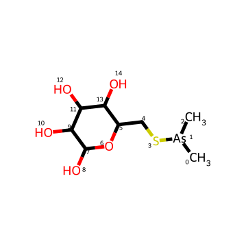 C[As](C)SCC1OC(O)C(O)C(O)C1O